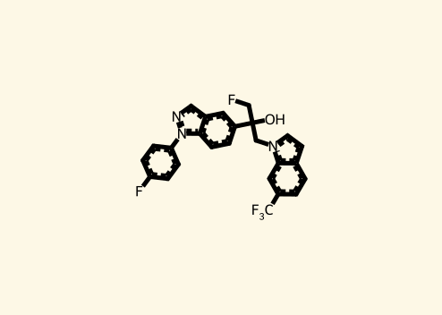 OC(CF)(Cn1ccc2ccc(C(F)(F)F)cc21)c1ccc2c(cnn2-c2ccc(F)cc2)c1